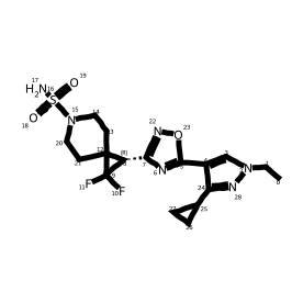 CCn1cc(-c2nc([C@@H]3C(F)(F)C34CCN(S(N)(=O)=O)CC4)no2)c(C2CC2)n1